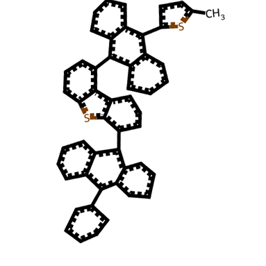 Cc1ccc(-c2c3ccccc3c(-c3cccc4sc5c(-c6c7ccccc7c(-c7ccccc7)c7ccccc67)cccc5c34)c3ccccc23)s1